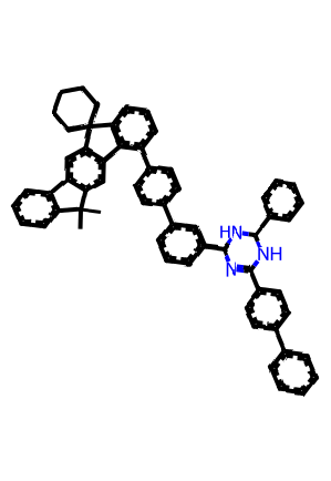 CC1(C)c2ccccc2-c2cc3c(cc21)-c1c(-c2ccc(-c4cccc(C5N=C(c6ccc(-c7ccccc7)cc6)NC(c6ccccc6)N5)c4)cc2)cccc1C31CCCCC1